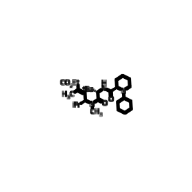 CCOC(=O)/C(C)=C/[C@H](C(C)C)N(C)C(=O)[C@@H](NC(=O)[C@H]1CCCCN1C1CCCCC1)C(C)(C)C